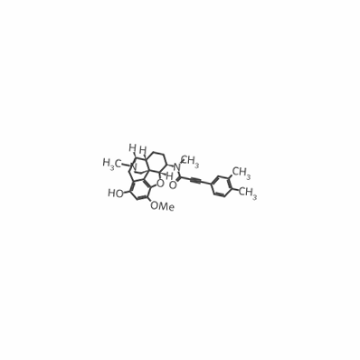 COc1cc(O)c2c3c1O[C@H]1[C@H](N(C)C(=O)C#Cc4ccc(C)c(C)c4)CC[C@H]4[C@@H](C2)N(C)CC[C@@]341